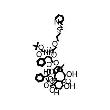 CC(=O)O[C@@]12CO[C@@H]1C[C@H](O)[C@@]1(C)C(=O)[C@H](O)C3=C(C)[C@@H](OC(=O)[C@H](OC(=O)COCCCSSc4ccccn4)[C@@H](NC(=O)OC(C)(C)C)c4ccccc4)C[C@@](O)([C@@H](OC(=O)c4ccccc4)[C@H]21)C3(C)C